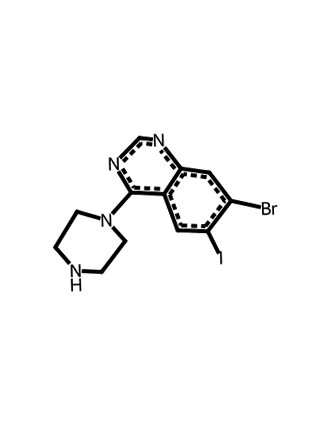 Brc1cc2ncnc(N3CCNCC3)c2cc1I